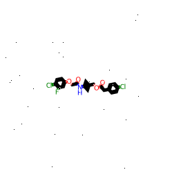 O=C(COc1ccc(Cl)c(F)c1)NC12CC1(COC(=O)Cc1ccc(Cl)cc1)C2